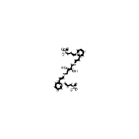 O=S(=O)([O-])CCC[n+]1ccccc1CCSC[C@@H](O)[C@@H](O)CSCCc1cccc[n+]1CCCS(=O)(=O)[O-]